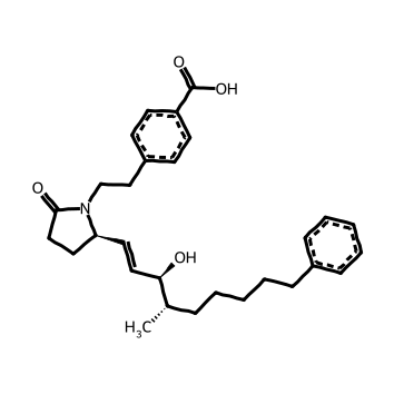 C[C@@H](CCCCCc1ccccc1)[C@H](O)/C=C/[C@H]1CCC(=O)N1CCc1ccc(C(=O)O)cc1